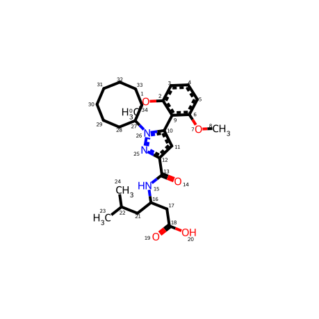 COc1cccc(OC)c1-c1cc(C(=O)NC(CC(=O)O)CC(C)C)nn1C1CCCCCCC1